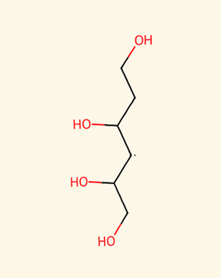 OCCC(O)[CH]C(O)CO